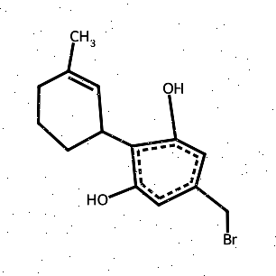 CC1=CC(c2c(O)cc(CBr)cc2O)CCC1